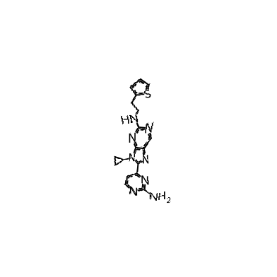 Nc1nccc(-c2nc3cnc(NCCc4cccs4)nc3n2C2CC2)n1